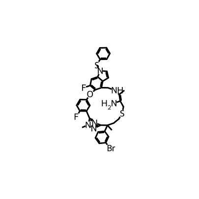 C/C1=C(/N)CSCCC(C)(c2cccc(Br)c2)c2nc(n(C)n2)-c2cc(ccc2F)Oc2c(F)cc3c(ccn3Sc3ccccc3)c2CN1